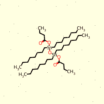 CCCCCCC[CH2][Sn]([CH2]CCCCCCC)([O]C(=O)CCC)[O][Sn]([CH2]CCCCCCC)([CH2]CCCCCCC)[O]C(=O)CCC